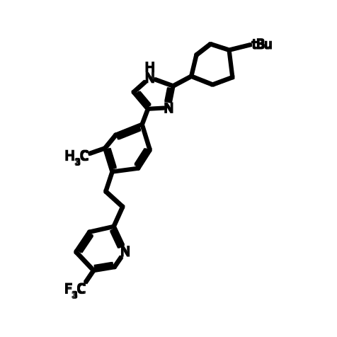 Cc1cc(-c2c[nH]c(C3CCC(C(C)(C)C)CC3)n2)ccc1CCc1ccc(C(F)(F)F)cn1